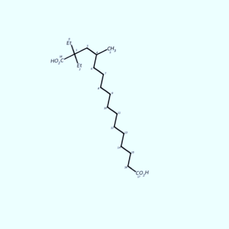 CCC(CC)(CC(C)CCCCCCCCCCCC(=O)O)C(=O)O